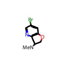 CNC1COc2cc(Br)cnc21